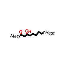 CCCCCCCCCCCCC(O)CC(=O)OC